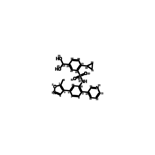 Cc1oncc1-c1ccc(-c2cccnc2)c(NS(=O)(=O)c2cc(C(O)O)ccc2C2CC2)c1